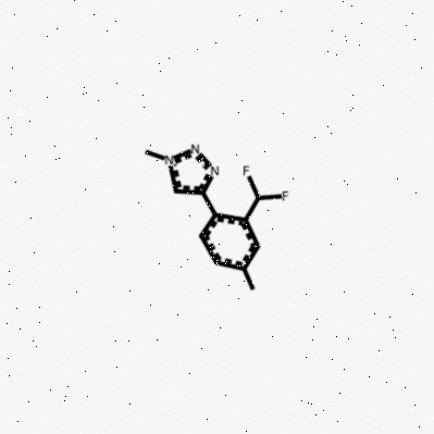 Cc1ccc(-c2cn(C)nn2)c(C(F)F)c1